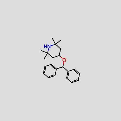 CC1(C)CC(OC(c2ccccc2)c2ccccc2)CC(C)(C)N1